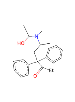 CCC(=O)C(CC(C)N(C)C(C)O)(c1ccccc1)c1ccccc1